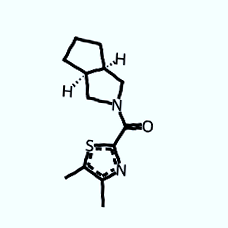 Cc1nc(C(=O)N2C[C@H]3CCC[C@H]3C2)sc1C